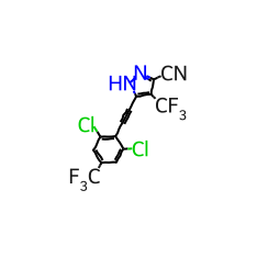 N#Cc1n[nH]c(C#Cc2c(Cl)cc(C(F)(F)F)cc2Cl)c1C(F)(F)F